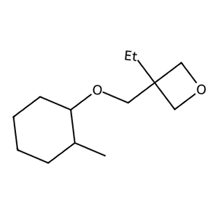 CCC1(COC2CCCCC2C)COC1